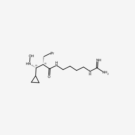 CC(C)C[C@H](C(=O)NCCCCNC(=N)N)[C@@H](NO)C1CC1